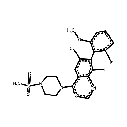 COc1cccc(F)c1-c1c(Cl)cc2c(N3CCN(S(C)(=O)=O)CC3)ncnc2c1F